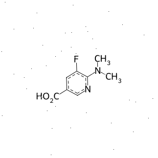 CN(C)c1ncc(C(=O)O)cc1F